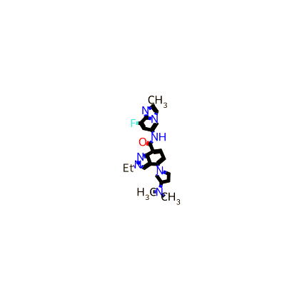 CCn1cc2c(N3CCC(N(C)C)C3)ccc(C(=O)Nc3cc(F)c4nc(C)cn4c3)c2n1